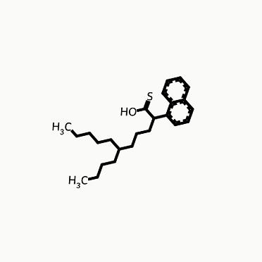 CCCCCC(CCCC)CCCC(C(O)=S)c1cccc2ccccc12